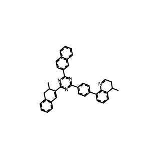 CC1Cc2ccccc2C=C1c1nc(-c2ccc(-c3cccc4c3N=CCC4C)cc2)nc(-c2ccc3ccccc3c2)n1